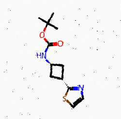 CC(C)(C)OC(=O)N[C@H]1C[C@H](c2nccs2)C1